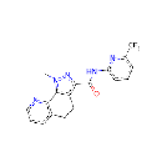 Cn1nc(C(=O)Nc2cccc(C(F)(F)F)n2)c2c1-c1ncccc1CC2